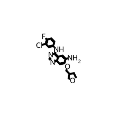 Nc1cc2c(Nc3ccc(F)c(Cl)c3)ncnc2cc1OCC1CCOC1